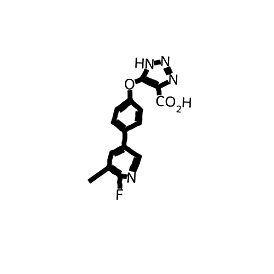 Cc1cc(-c2ccc(Oc3[nH]nnc3C(=O)O)cc2)cnc1F